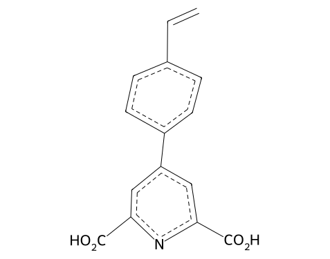 C=Cc1ccc(-c2cc(C(=O)O)nc(C(=O)O)c2)cc1